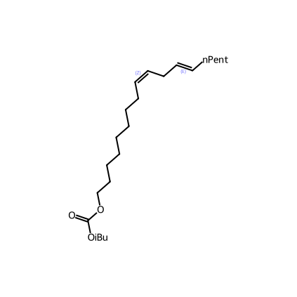 CCCCC/C=C/C/C=C\CCCCCCCCOC(=O)OCC(C)C